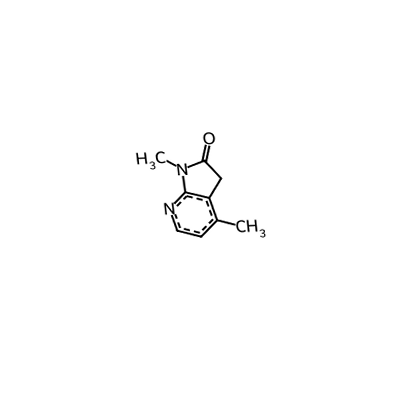 Cc1ccnc2c1CC(=O)N2C